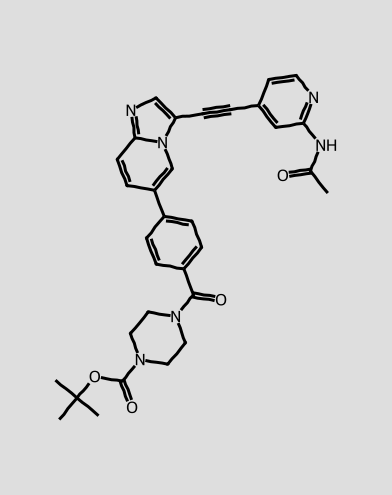 CC(=O)Nc1cc(C#Cc2cnc3ccc(-c4ccc(C(=O)N5CCN(C(=O)OC(C)(C)C)CC5)cc4)cn23)ccn1